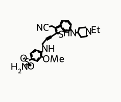 CCN1CCC(Nc2cccc3c(CC#N)c(C#CCNc4ccc(S(N)(=O)=O)cc4OC)sc23)CC1